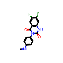 CNc1ccc(-n2c(=O)[nH]c3cc(F)c(F)cc3c2=O)cc1